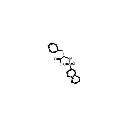 O=C(Cl)[C@H](Cc1ccccc1)NS(=O)(=O)c1ccc2ccccc2c1